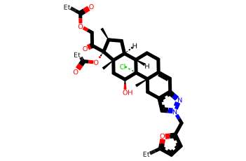 CCC(=O)OCC(=O)[C@@]1(OC(=O)CC)[C@@H](C)C[C@H]2[C@@H]3CCC4=Cc5nn(Cc6ccc(CC)o6)cc5C[C@]4(C)[C@@]3(Cl)[C@@H](O)C[C@@]21C